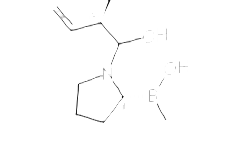 C=C[C@@H](C)C(O)N1CCC[C@H]1B(C)O